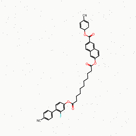 N#CC1=CCC(OC(=O)c2ccc3cc(OC(=O)CCCCCCCCCC(=O)Oc4ccc(-c5ccc(C#N)cc5)c(F)c4)ccc3c2)C=C1